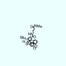 CNC(=O)CCCNC(=O)N1C[C@@H](CC(C)(C)C)[C@](N)(c2ccc(Cl)cc2F)[C@H]1c1cccc(Cl)c1F